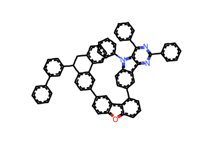 c1ccc(-c2cccc(C3Cc4ccccc4-c4cc(-c5ccc6oc7cccc(-c8ccc9c(c8)c8nc(-c%10ccccc%10)nc(-c%10ccccc%10)c8n9-c8ccccc8)c7c6c5)ccc43)c2)cc1